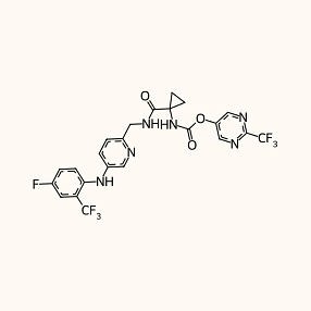 O=C(NC1(C(=O)NCc2ccc(Nc3ccc(F)cc3C(F)(F)F)cn2)CC1)Oc1cnc(C(F)(F)F)nc1